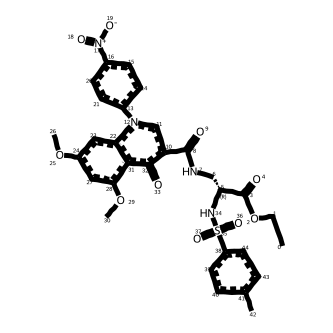 CCOC(=O)[C@@H](CNC(=O)c1cn(-c2ccc([N+](=O)[O-])cc2)c2cc(OC)cc(OC)c2c1=O)NS(=O)(=O)c1ccc(C)cc1